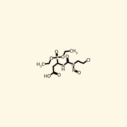 CCOP(=O)(OCC)C(CC(=O)O)NC(=O)N(CCCl)N=O